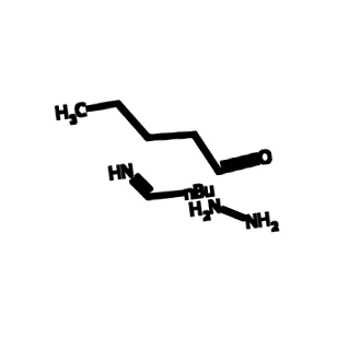 CCCCC=N.CCCCC=O.NN